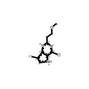 COCCc1nc(Cl)c2[nH]cc(I)c2n1